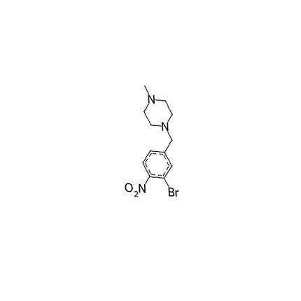 CN1CCN(Cc2ccc([N+](=O)[O-])c(Br)c2)CC1